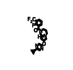 O=C(c1cccc(C(F)(F)F)c1F)N1CCCN2C[C@@H](Oc3cnc(C4CC4)cn3)C[C@@H]2C1